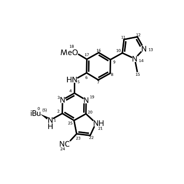 CC[C@H](C)Nc1nc(Nc2ccc(-c3ccnn3C)cc2OC)nc2[nH]cc(C#N)c12